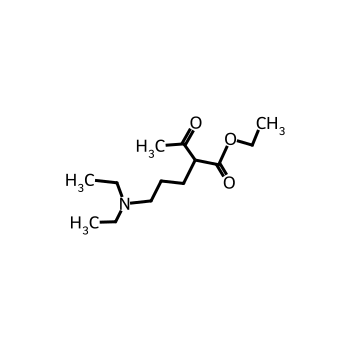 CCOC(=O)C(CCCN(CC)CC)C(C)=O